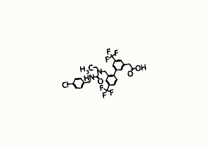 CCN(Cc1cc(C(F)(F)F)ccc1-c1cc(CC(=O)O)cc(C(F)(F)F)c1)C(=O)NCc1ccc(Cl)cc1